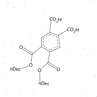 CCCCCCCCCCOC(=O)c1cc(C(=O)O)c(C(=O)O)cc1C(=O)OCCCCCCCCCC